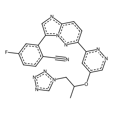 CC(Cn1cnnn1)Oc1cnnc(-c2ccc3ncc(-c4cc(F)ccc4C#N)n3n2)c1